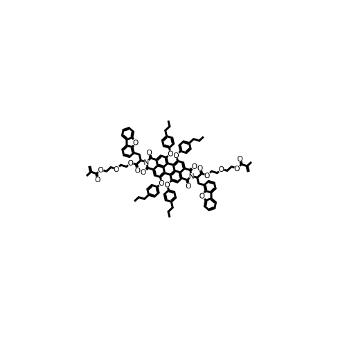 C=C(C)C(=O)OCCOCCOC(=O)C(Cc1cccc2c1oc1ccccc12)N1C(=O)c2cc(Oc3ccc(CCC)cc3)c3c4c(Oc5ccc(CCC)cc5)cc5c6c(cc(Oc7ccc(CCC)cc7)c(c7c(Oc8ccc(CCC)cc8)cc(c2c37)C1=O)c64)C(=O)N(C(Cc1cccc2c1oc1ccccc12)C(=O)OCCOCCOC(=O)C(=C)C)C5=O